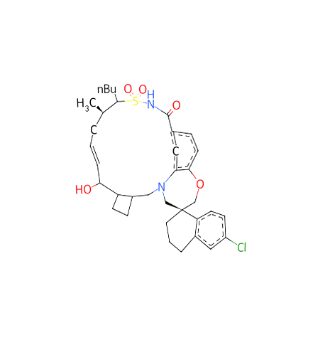 CCCCC1[C@H](C)C/C=C/C(O)C2CCC2CN2C[C@@]3(CCCc4cc(Cl)ccc43)COc3ccc(cc32)C(=O)NS1(=O)=O